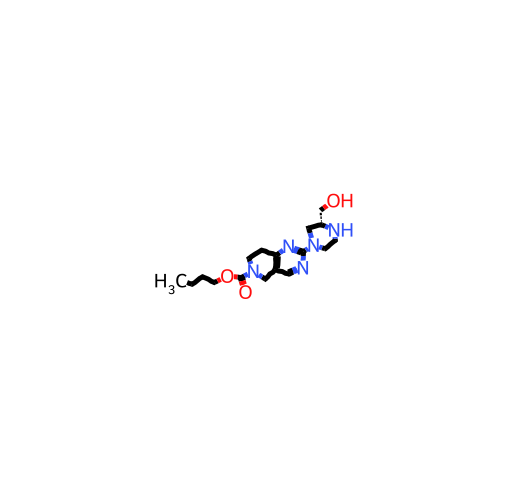 CCCCOC(=O)N1CCc2nc(N3CCN[C@@H](CO)C3)ncc2C1